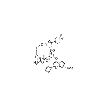 COc1ccc2c(O[C@@H]3C[C@H]4C(=O)N[C@]5(C(N)=O)C[C@H]5/C=C\CCCCC[C@H](CC(=O)N5CCC(F)(F)CC5)C(=O)N4C3)cc(-c3ccccc3)nc2c1